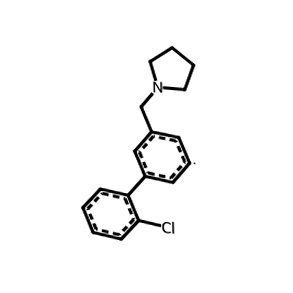 Clc1ccccc1-c1c[c]cc(CN2CCCC2)c1